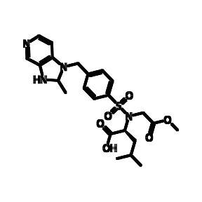 COC(=O)CN([C@@H](CC(C)C)C(=O)O)S(=O)(=O)c1ccc(CN2c3ccncc3NC2C)cc1